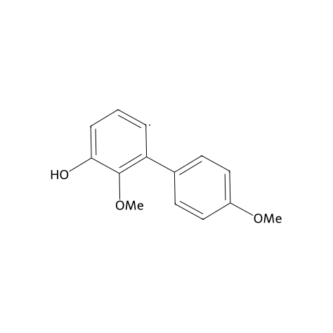 COc1ccc(-c2[c]ccc(O)c2OC)cc1